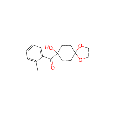 Cc1ccccc1C(=O)C1(O)CCC2(CC1)OCCO2